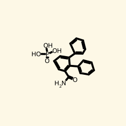 NC(=O)c1cccc(-c2ccccc2)c1-c1ccccc1.O=P(O)(O)O